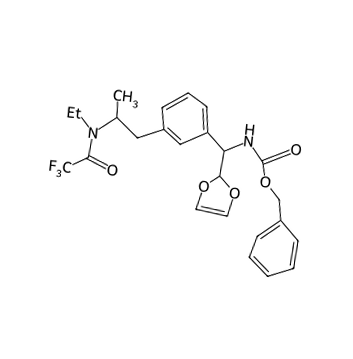 CCN(C(=O)C(F)(F)F)C(C)Cc1cccc(C(NC(=O)OCc2ccccc2)C2OC=CO2)c1